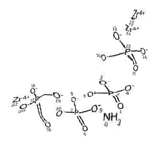 N.O=P([O-])([O-])[O-].O=P([O-])([O-])[O-].O=P([O-])([O-])[O-].O=P([O-])([O-])[O-].[Zr+4].[Zr+4].[Zr+4]